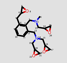 CN(Cc1c(CC2CO2)cccc1CN(CC1CO1)CC1CO1)CC1CO1